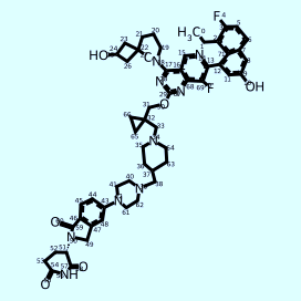 CCc1c(F)ccc2cc(O)cc(-c3ncc4c(N5CCCC6(CC(O)C6)C5)nc(OCC5(CN6CCC(CN7CCN(c8ccc9c(c8)CN([C@H]8CCC(=O)NC8=O)C9=O)CC7)CC6)CC5)nc4c3F)c12